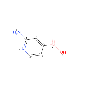 Nc1cc(BO)ccn1